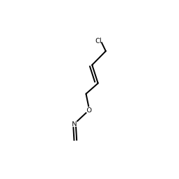 C=NOCC=CCCl